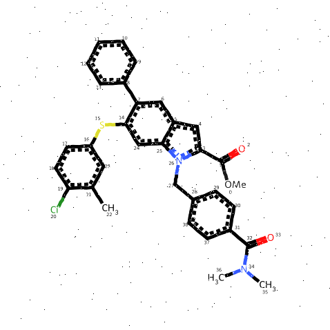 COC(=O)c1cc2cc(-c3ccccc3)c(Sc3ccc(Cl)c(C)c3)cc2n1Cc1ccc(C(=O)N(C)C)cc1